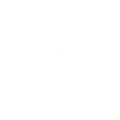 CCC(O)[N+](C)(C)C.O=C(O)CCl